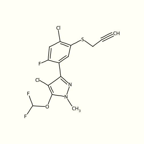 C#CCSc1cc(-c2nn(C)c(OC(F)F)c2Cl)c(F)cc1Cl